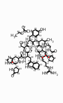 CCNC(=O)[C@@H]1CCCN1C(=O)C(CCCNC(=N)N)NC(=O)C(CC(C)C)NC(=O)C(CC(C)C)NC(=O)C(Cc1ccc(O)cc1)NC(=O)C(CO)NC(=O)C(Cc1c[nH]c2ccccc12)NC(=O)C(Cc1c[nH]cn1)NC(=O)[C@@H]1CCC(=O)N1.CCOC(C)=O